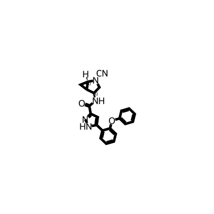 N#CN1C[C@@H](NC(=O)c2cc(-c3ccccc3Oc3ccccc3)[nH]n2)C2C[C@H]21